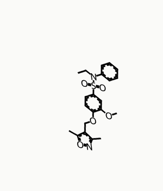 CCN(c1ccccc1)S(=O)(=O)c1ccc(OCc2c(C)noc2C)c(OC)c1